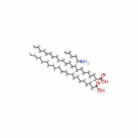 CCCCCCCCCCCCCCCCCCCCCC(=O)O.CCCCCCCCCCCCCCCCCCCCCC(=O)O.CCCCCN